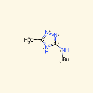 CCC(C)Nc1nnc(C)[nH]1